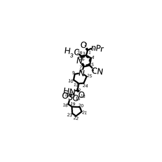 CCCC(=O)c1cc(C#N)c(N2CCC(C(=O)NS(=O)(=O)CC3CCCC3)CC2)nc1C